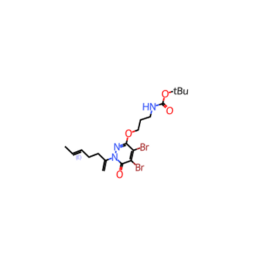 C=C(CC/C=C/C)n1nc(OCCCNC(=O)OC(C)(C)C)c(Br)c(Br)c1=O